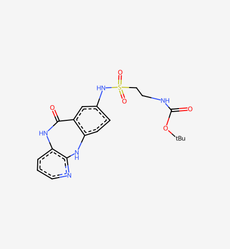 CC(C)(C)OC(=O)NCCS(=O)(=O)Nc1ccc2c(c1)C(=O)Nc1cccnc1N2